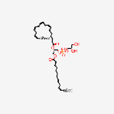 CCCCC/C=C\C/C=C\C/C=C\C/C=C\CCCCCC(=O)O[C@H](COC(=O)CCCCCCCCC/C=C\CCCCCCCCCC)COP(=O)(O)OC[C@@H](O)CO